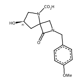 COc1ccc(CN2CC3(C[C@@H](O)CN3C(=O)O)C2=O)cc1